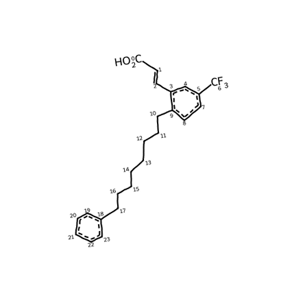 O=C(O)C=Cc1cc(C(F)(F)F)ccc1CCCCCCCCc1ccccc1